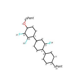 CCCCCOC1CCC(C2CCC(C3CCC(CCCCC)CC3)C(F)C2)C(F)C1F